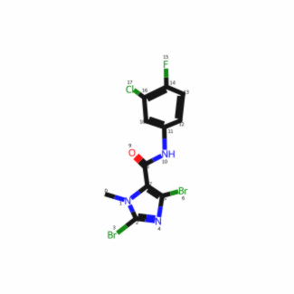 Cn1c(Br)nc(Br)c1C(=O)Nc1ccc(F)c(Cl)c1